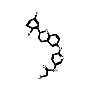 O=C(CCl)Nc1ccc(Oc2ccc3c(c2)CCC(c2cc(F)ccc2F)O3)nc1